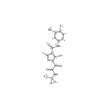 Cn1cc(C(=O)C(=O)NC2(C(F)(F)F)CC2)c(F)c1C(=O)Nc1ccc(F)c(C#N)c1